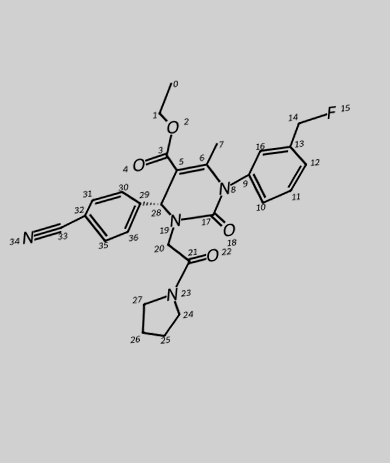 CCOC(=O)C1=C(C)N(c2cccc(CF)c2)C(=O)N(CC(=O)N2CCCC2)[C@@H]1c1ccc(C#N)cc1